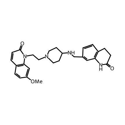 COc1ccc2ccc(=O)n(CCN3CCC(NCc4ccc5c(c4)NC(=O)CC5)CC3)c2c1